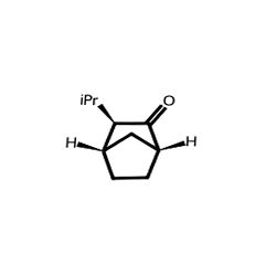 CC(C)[C@H]1C(=O)[C@@H]2CC[C@H]1C2